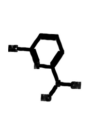 N#Cc1cccc(B(O)O)n1